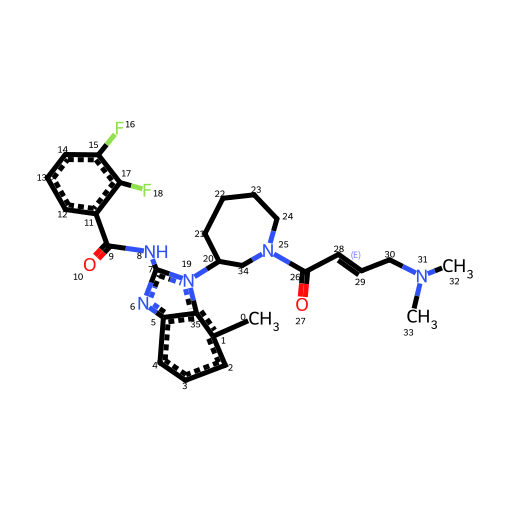 Cc1cccc2nc(NC(=O)c3cccc(F)c3F)n(C3CCCCN(C(=O)/C=C/CN(C)C)C3)c12